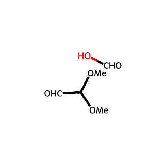 COC(C=O)OC.O=CO